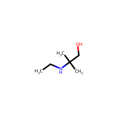 [CH2]CNC(C)(C)CO